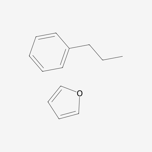 CCCc1ccccc1.c1ccoc1